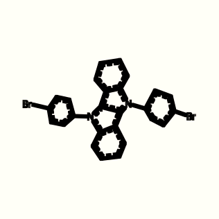 Brc1ccc(-n2c3ccccc3c3c2c2ccccc2n3-c2ccc(Br)cc2)cc1